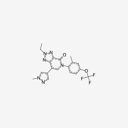 CCn1nc2c(-c3cnn(C)c3)cn(-c3ccc(OC(F)(F)F)cc3C)c(=O)c2n1